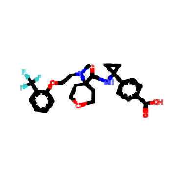 CN(CCOc1ccccc1C(F)(F)F)C1(C(=O)NC2(c3ccc(C(=O)O)cc3)CC2)CCOCC1